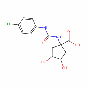 O=C(Nc1ccc(Cl)cc1)NC1(C(=O)O)CC(O)C(O)C1